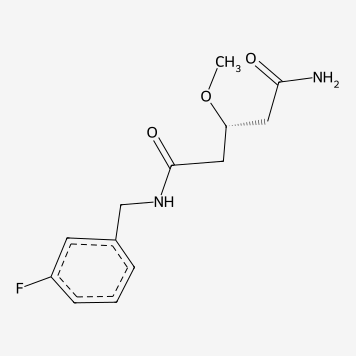 CO[C@H](CC(N)=O)CC(=O)NCc1cccc(F)c1